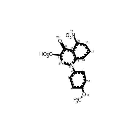 O=C(O)c1nn(-c2ccc(OC(F)(F)F)cc2)c2cccc([N+](=O)[O-])c2c1=O